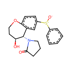 O=C1CCCN1[C@H]1c2cc([S+]([O-])c3ccccc3)ccc2OCC[C@@H]1O